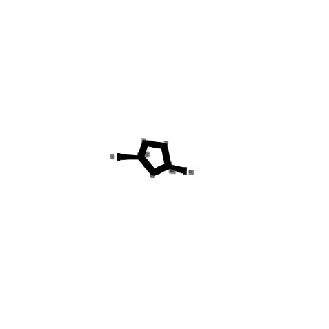 I[C@@H]1CC[C@H](I)C1